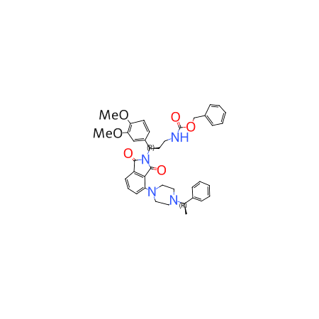 COc1ccc([C@@H](CCNC(=O)OCc2ccccc2)N2C(=O)c3cccc(N4CCN([C@H](C)c5ccccc5)CC4)c3C2=O)cc1OC